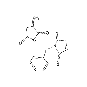 C=C1CC(=O)OC1=O.O=C1C=CC(=O)N1Cc1ccccc1